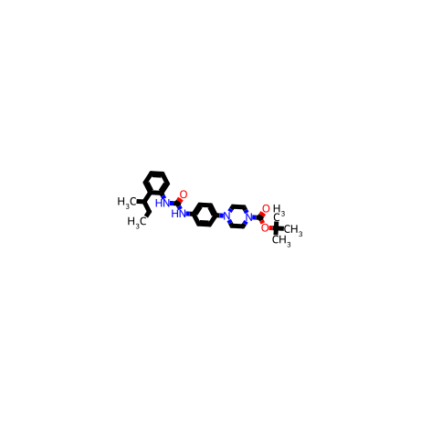 CCC(C)c1ccccc1NC(=O)Nc1ccc(N2CCN(C(=O)OC(C)(C)C)CC2)cc1